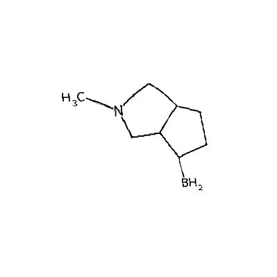 BC1CCC2CN(C)CC12